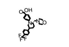 O=C(O)c1ccc(N2CC(c3ccc(C(F)(F)F)cc3)CC[C@H]2CN2CCOCC2)cc1